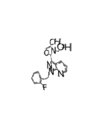 CC1=COC(c2nn(Cc3ccccc3F)c3ncccc23)N1CO